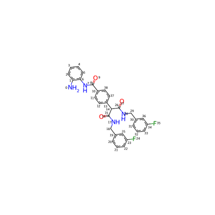 Nc1ccccc1NC(=O)c1ccc(C(C(=O)NCc2cccc(F)c2)C(=O)NCc2cccc(F)c2)cc1